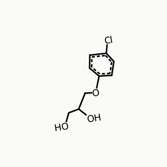 OCC(O)COc1ccc(Cl)cc1